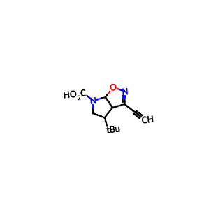 C#CC1=NOC2C1C(C(C)(C)C)CN2C(=O)O